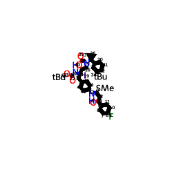 CSC(=CC(=O)c1ccc(F)cc1)Nc1ccc(C[C@@](I)(NC(=O)OC(C)(C)C)C2CN(C3(c4cccc(C(C)(C)C)c4)CC3)C(=O)O2)cc1